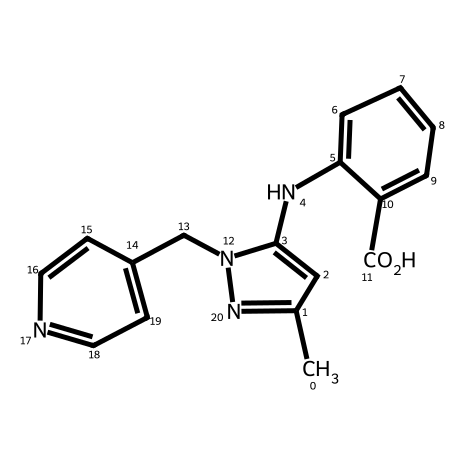 Cc1cc(Nc2ccccc2C(=O)O)n(Cc2ccncc2)n1